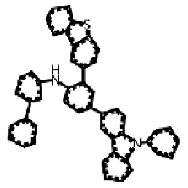 c1ccc(-c2cccc(Nc3ccc(-c4ccc5c(c4)c4ccccc4n5-c4ccccc4)cc3-c3ccc4sc5ccccc5c4c3)c2)cc1